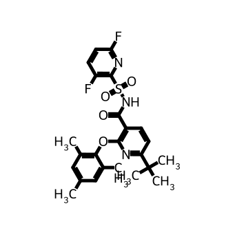 Cc1cc(C)c(Oc2nc(C(C)(C)C)ccc2C(=O)NS(=O)(=O)c2nc(F)ccc2F)c(C)c1